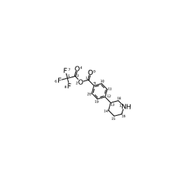 O=C(OC(=O)C(F)(F)F)c1ccc(C2CCCNC2)cc1